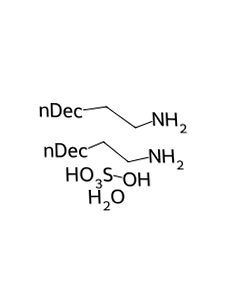 CCCCCCCCCCCCN.CCCCCCCCCCCCN.O.O=S(=O)(O)O